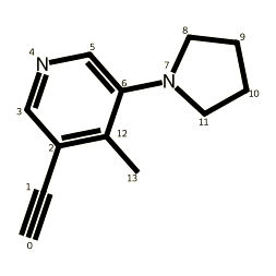 C#Cc1cncc(N2CCCC2)c1C